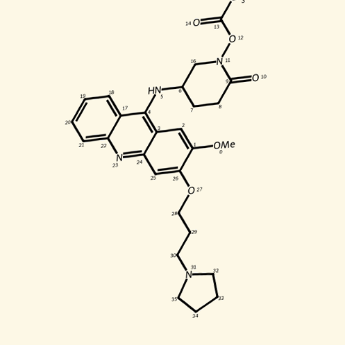 COc1cc2c(NC3CCC(=O)N(OC(=O)C(F)(F)F)C3)c3ccccc3nc2cc1OCCCN1CCCC1